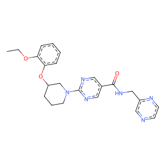 CCOc1ccccc1OC1CCCN(c2ncc(C(=O)NCc3cnccn3)cn2)C1